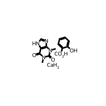 Cn1c(=O)c2[nH]cnc2n(C)c1=O.O=C(O)c1ccccc1O.[CaH2]